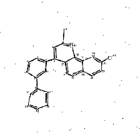 Cc1cc(-c2cccc(-c3ccccc3)c2)c2ccc3ccc(Cl)nc3c2n1